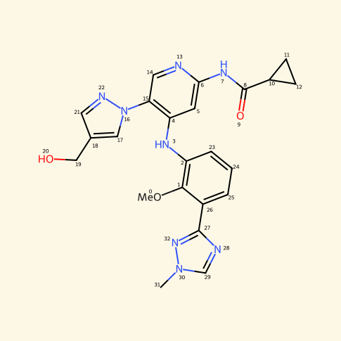 COc1c(Nc2cc(NC(=O)C3CC3)ncc2-n2cc(CO)cn2)cccc1-c1ncn(C)n1